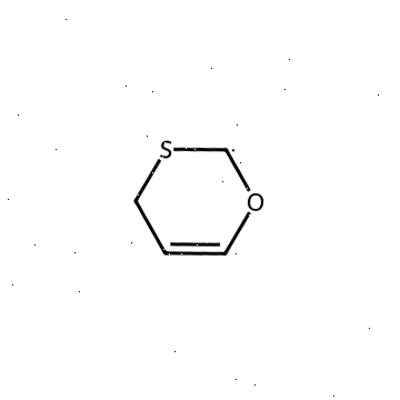 [CH]1OC=CCS1